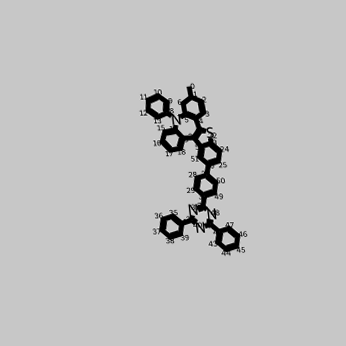 CC1C=CC2=C(C1)N(c1ccccc1)c1ccccc1-c1c2sc2ccc(-c3ccc(-c4nc(-c5ccccc5)nc(-c5ccccc5)n4)cc3)cc12